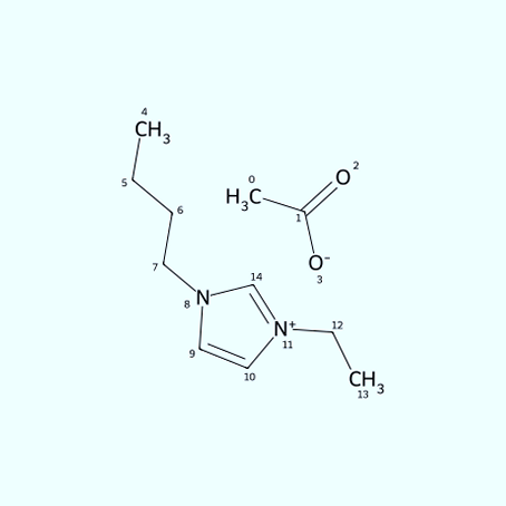 CC(=O)[O-].CCCCn1cc[n+](CC)c1